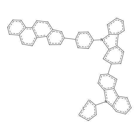 c1ccc(-n2c3ccccc3c3cc(-c4ccc5c6ccccc6n(-c6ccc(-c7ccc8c(ccc9c%10ccccc%10ccc89)c7)cc6)c5c4)ccc32)cc1